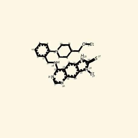 CCOCC1CCN(c2ccccc2CNc2ncnc3cc4c(cc23)[nH]c(=S)n4CC)CC1